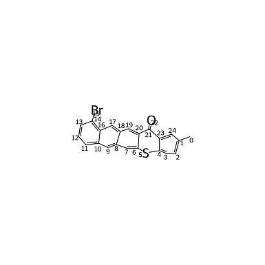 Cc1ccc2sc3cc4cc5cccc(Br)c5cc4cc3c(=O)c2c1